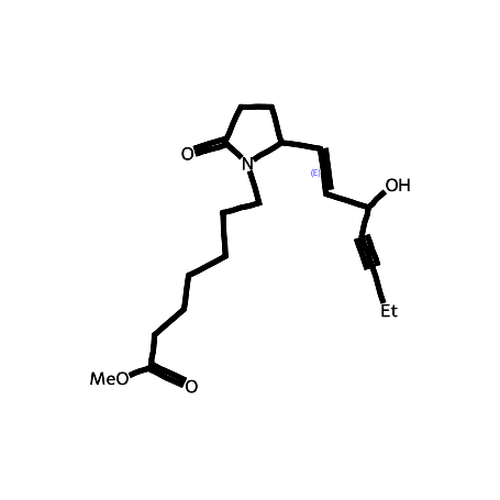 CCC#CC(O)/C=C/C1CCC(=O)N1CCCCCCC(=O)OC